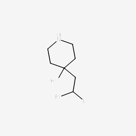 CCC(CC)CC1(O)CCNCC1